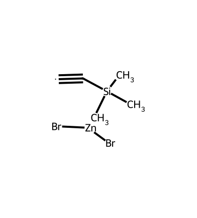 [Br][Zn][Br].[C]#C[Si](C)(C)C